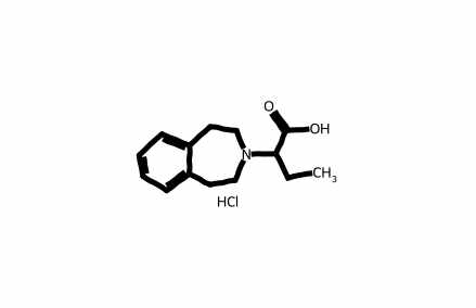 CCC(C(=O)O)N1CCc2ccccc2CC1.Cl